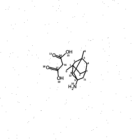 CC12CC3CC(C)(C1)CC(N)(C3)C2.O=C(O)CC(=O)O